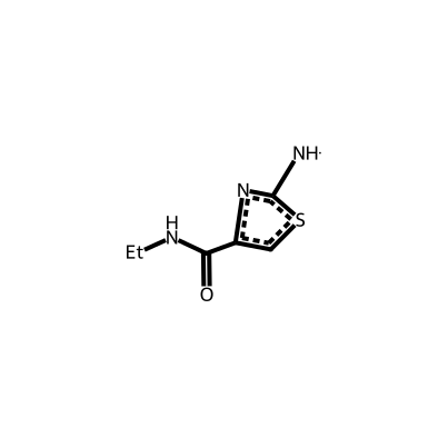 CCNC(=O)c1csc([NH])n1